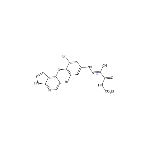 CCOC(=O)NC(=O)/C(C#N)=N/Nc1cc(Br)c(Oc2ncnc3[nH]ccc23)c(Br)c1